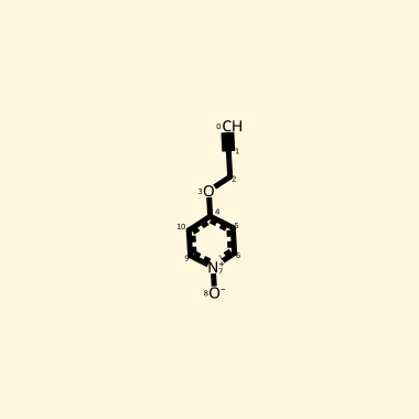 C#CCOc1cc[n+]([O-])cc1